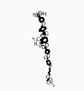 C=CC(=O)OCCCCOc1ccc(C(=O)Oc2ccc(C(=O)Oc3ccc(OC(=O)c4ccc(COc5ccc(B(O)O)cc5)cc4)c(C)c3C)cc2)cc1